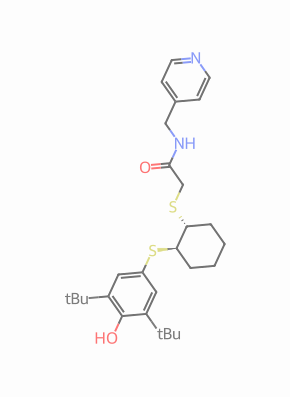 CC(C)(C)c1cc(S[C@@H]2CCCC[C@H]2SCC(=O)NCc2ccncc2)cc(C(C)(C)C)c1O